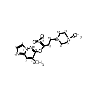 Cc1cc2nccn2nc1OC(CCN1CCN(C)CC1)=S(=O)=O